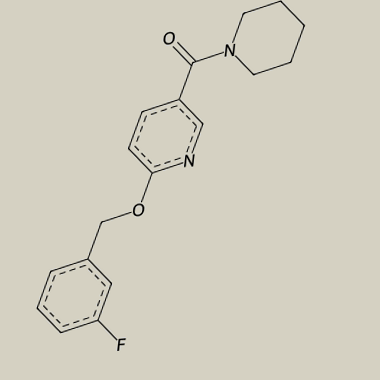 O=C(c1ccc(OCc2cccc(F)c2)nc1)N1CCCCC1